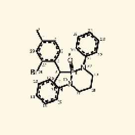 Cc1ccc(C(CC#N)P2(=O)N(c3ccccc3)CCCN2c2ccccc2)c(Br)c1